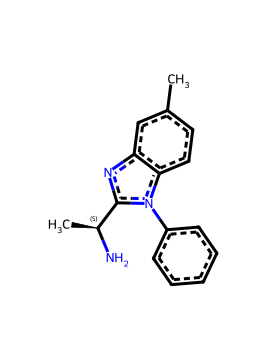 Cc1ccc2c(c1)nc([C@H](C)N)n2-c1ccccc1